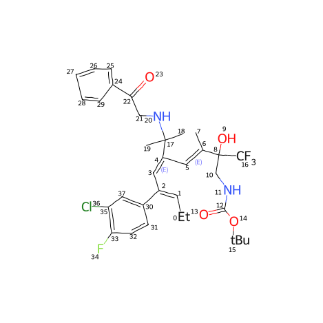 CCC=C(/C=C(\C=C(/C)C(O)(CNC(=O)OC(C)(C)C)C(F)(F)F)C(C)(C)NCC(=O)c1ccccc1)c1ccc(F)c(Cl)c1